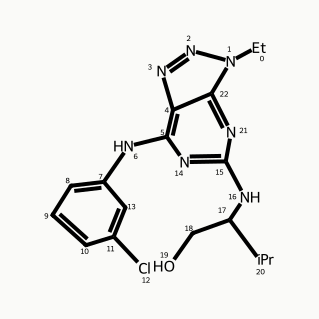 CCn1nnc2c(Nc3cccc(Cl)c3)nc(NC(CO)C(C)C)nc21